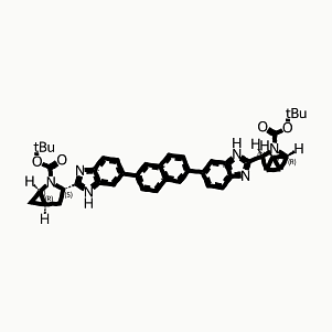 CC(C)(C)OC(=O)N1[C@H](c2nc3ccc(-c4ccc5cc(-c6ccc7nc([C@@H]8C[C@H]9C[C@H]9N8C(=O)OC(C)(C)C)[nH]c7c6)ccc5c4)cc3[nH]2)C2C3[C@H]2[C@@H]31